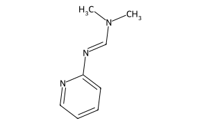 CN(C)C=Nc1ccccn1